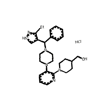 CCc1n[nH]cc1C(c1ccccc1)N1CCN(c2cccnc2N2CCC(CO)CC2)CC1.Cl